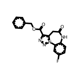 O=C1Cc2c(C(=O)OCc3ccccc3)nnn2-c2cc(F)ccc2N1